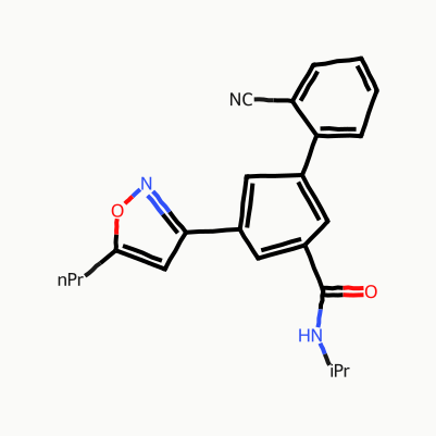 CCCc1cc(-c2cc(C(=O)NC(C)C)cc(-c3ccccc3C#N)c2)no1